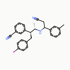 Cc1cccc(C(CC#N)N[C@@H](C)[C@@H](Cc2ccc(I)cc2)c2cccc(C#N)c2)c1